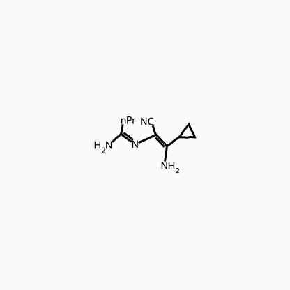 CCC/C(N)=N\C(C#N)=C(/N)C1CC1